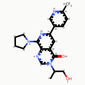 CC(CO)n1cnc2c(N3CCCC3)nc(-c3ccc(C(F)(F)F)nc3)cc2c1=O